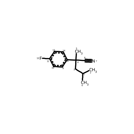 CC(C)CC(C)(C#N)c1ccc(F)cc1